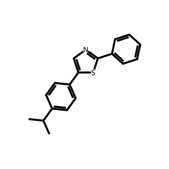 CC(C)c1ccc(-c2cnc(-c3ccccc3)s2)cc1